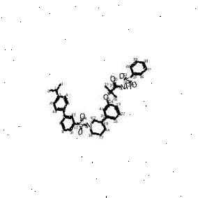 CC(C)c1ccc(-c2cccc(S(=O)(=O)N3CCCC(c4cccc(OC(C)(C)C(=O)NS(=O)(=O)c5ccccc5)c4)C3)c2)cc1